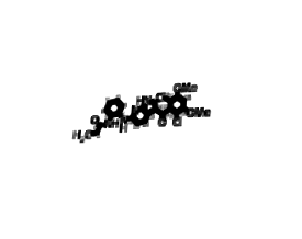 C=CC(=O)Nc1ccccc1Nc1ccc2c(C(=O)c3c(Cl)c(OC)cc(OC)c3Cl)c[nH]c2n1